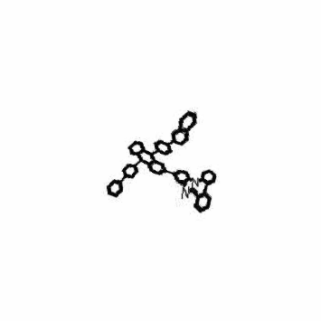 c1ccc(-c2ccc(-c3c4ccccc4c(-c4ccc(-c5ccc6ccccc6c5)cc4)c4cc(-c5ccc6c(c5)nc5c7ccccc7c7ccccc7n65)ccc34)cc2)cc1